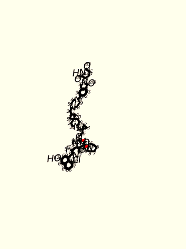 CC(C)(C)OC(=O)N1C2CCC1CN(c1nc(OCC3(CN4CCC5(CC4)CC(CN4CCN(c6ccc7c(c6)CN([C@H]6CCC(=O)NC6=O)C7=O)CC4)C5)CC3)nc3c(F)c(-c4cc(O)cc5cccc(Cl)c45)ncc13)C2